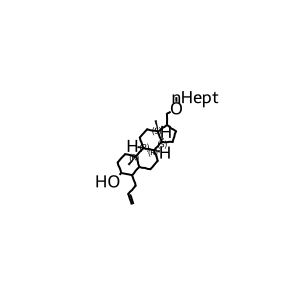 C=CCC1C(O)CC[C@@]2(C)C1CC[C@@H]1[C@H]2CC[C@]2(C)C(COCCCCCCC)CC[C@@H]12